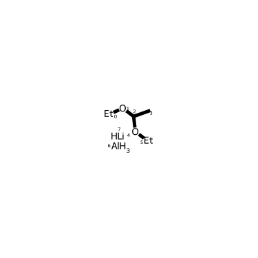 CCOC(C)OCC.[AlH3].[LiH]